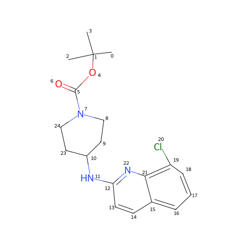 CC(C)(C)OC(=O)N1CCC(Nc2ccc3cccc(Cl)c3n2)CC1